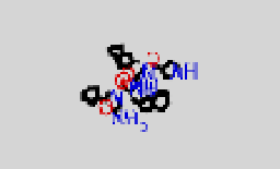 NC(=O)CN(CCc1ccccc1)C(=O)[C@@H](Cc1ccc2ccccc2c1)NC(=O)[C@@H](Cc1ccc2ccccc2c1)NC(=O)C1CCNCC1